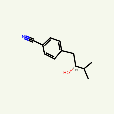 CC(C)[C@H](O)Cc1ccc(C#N)cc1